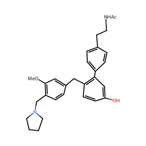 COc1cc(Cc2ccc(O)cc2-c2ccc(CCNC(C)=O)cc2)ccc1CN1CCCC1